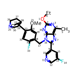 CCOc1nc(C)c2nc(-c3cncc(F)c3)n(Cc3cc(OC)c(C4CN5CCC4CC5)cc3F)c2n1